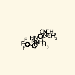 C=NN(CC)C1=C(C)CC(NC2N=C3C(c4cc(F)c(F)c(F)c4)=CC=CN3N2)CC1C